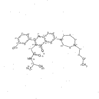 COCCN1CCCN(c2ccc3nc(-c4cccc(Cl)c4)n(CC(=O)NC(C)C)c(=O)c3c2)CC1